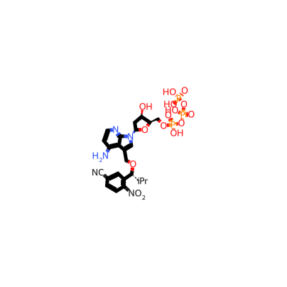 CC(C)[C@@H](OCc1cn([C@H]2C[C@@H](O)[C@@H](COP(=O)(O)OP(=O)(O)OP(=O)(O)O)O2)c2nccc(N)c12)c1cc(C#N)ccc1[N+](=O)[O-]